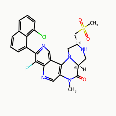 CN1C(=O)[C@@H]2CN[C@@H](CS(C)(=O)=O)CN2c2c1cnc1c(F)c(-c3cccc4cccc(Cl)c34)ncc21